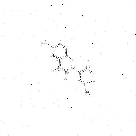 CSc1ncc2cc(-c3cc(N)ccc3C)c(=O)n(C)c2n1